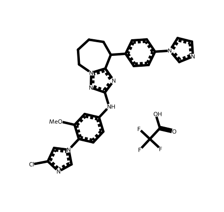 COc1cc(Nc2nc3n(n2)CCCCC3c2ccc(-n3ccnc3)cc2)ccc1-n1cnc(Cl)c1.O=C(O)C(F)(F)F